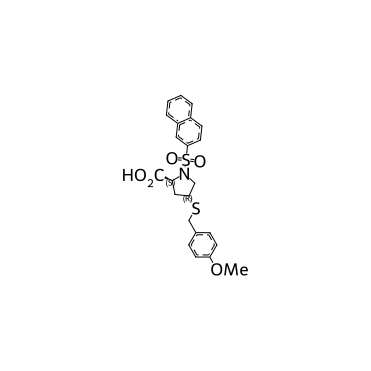 COc1ccc(CS[C@@H]2C[C@@H](C(=O)O)N(S(=O)(=O)c3ccc4ccccc4c3)C2)cc1